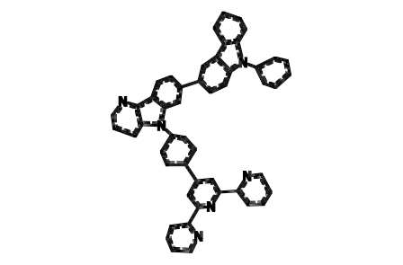 c1ccc(-n2c3ccccc3c3cc(-c4ccc5c6ncccc6n(-c6ccc(-c7cc(-c8ccccn8)nc(-c8ccccn8)c7)cc6)c5c4)ccc32)cc1